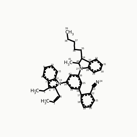 C/C=C\c1c(CC)c2ccccc2n1-c1cc(-c2ccccc2C#N)cc(N2c3ccccc3C(CCCCC)C2C)c1